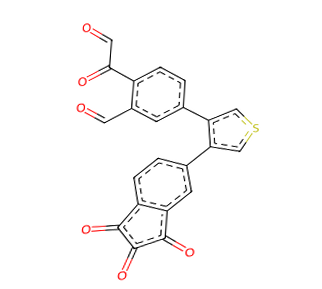 O=CC(=O)c1ccc(-c2cscc2-c2ccc3c(=O)c(=O)c(=O)c3c2)cc1C=O